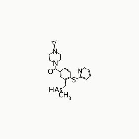 C[AsH]Cc1cc(C(=O)N2CCN(C3CC3)CC2)ccc1Sc1ccccn1